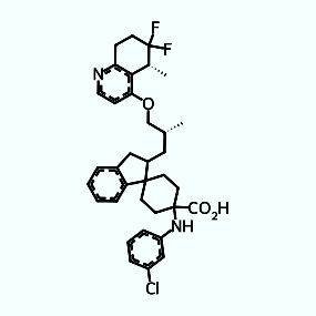 C[C@@H](COc1ccnc2c1[C@@H](C)C(F)(F)CC2)CC1Cc2ccccc2C12CCC(Nc1cccc(Cl)c1)(C(=O)O)CC2